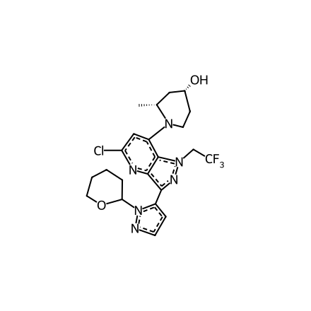 C[C@@H]1C[C@H](O)CCN1c1cc(Cl)nc2c(-c3ccnn3C3CCCCO3)nn(CC(F)(F)F)c12